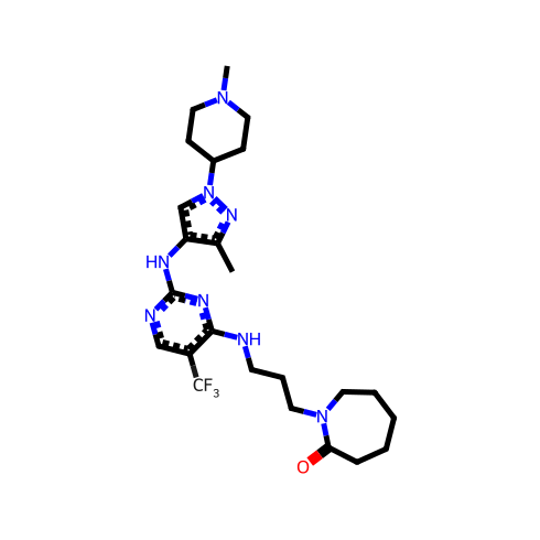 Cc1nn(C2CCN(C)CC2)cc1Nc1ncc(C(F)(F)F)c(NCCCN2CCCCCC2=O)n1